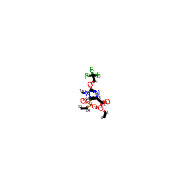 CCOC(=O)c1nc(OCC(F)(F)F)n(C)c1S(=O)(=O)CC